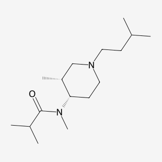 CC(C)CCN1CC[C@H](N(C)C(=O)C(C)C)[C@H](C)C1